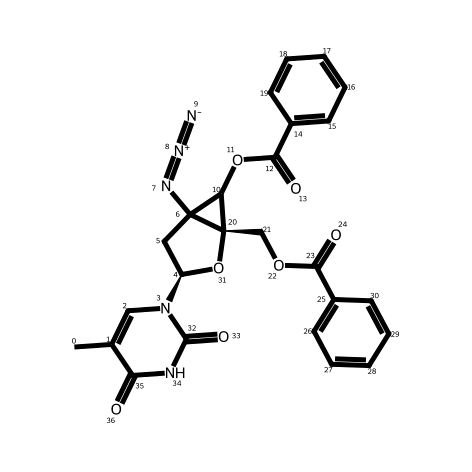 Cc1cn([C@H]2CC3(N=[N+]=[N-])C(OC(=O)c4ccccc4)[C@]3(COC(=O)c3ccccc3)O2)c(=O)[nH]c1=O